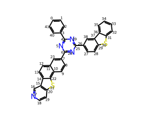 c1ccc(-c2nc(-c3ccc4c(ccc5c6cnccc6sc45)c3)nc(-c3ccc4sc5ccccc5c4c3)n2)cc1